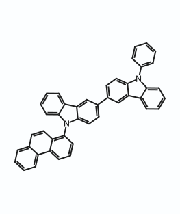 c1ccc(-n2c3ccccc3c3cc(-c4ccc5c(c4)c4ccccc4n5-c4cccc5c4ccc4ccccc45)ccc32)cc1